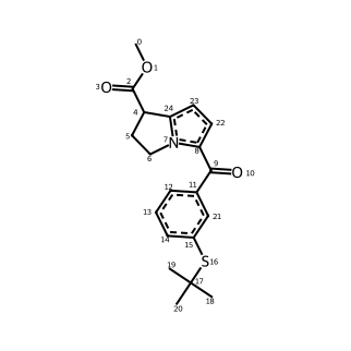 COC(=O)C1CCn2c(C(=O)c3cccc(SC(C)(C)C)c3)ccc21